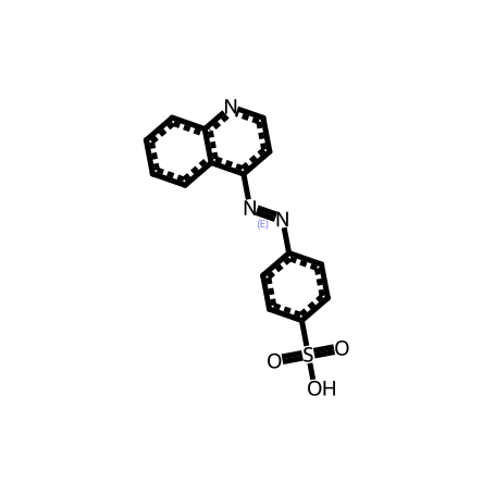 O=S(=O)(O)c1ccc(/N=N/c2ccnc3ccccc23)cc1